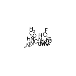 C=CC(=O)Nc1cc(Nc2cc(N3OCCC3c3cccc(F)c3)ncn2)c(OC)cc1N1CCN(C2CC2)CC1